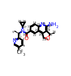 C[C@H](c1ccc(C(F)(F)F)cn1)N(C(=O)c1ccc2nc(N)c3c(c2c1)CO[C@@H]3C)C1CC1